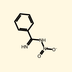 N=C(N[N+](=O)[O-])c1ccccc1